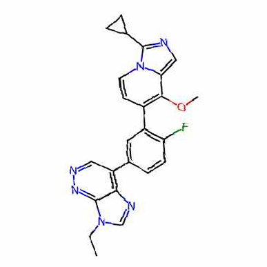 CCn1cnc2c(-c3ccc(F)c(-c4ccn5c(C6CC6)ncc5c4OC)c3)cnnc21